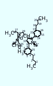 CCCCc1cccc(C2=CC=C(c3cccc(CCCC)c3)[N+]2=[N-])c1.CC[N](CC)[Pd][N](CC)CC